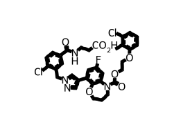 Cc1c(Cl)cccc1OCCOC(=O)N1CCCOc2c(-c3cnn(Cc4cc(C(=O)NCCC(=O)O)ccc4Cl)c3)cc(F)cc21